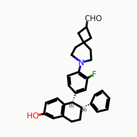 O=CC1CC2(CCN(c3ccc([C@H]4c5ccc(O)cc5CC[C@H]4c4ccccc4)cc3F)CC2)C1